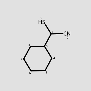 N#CC(S)C1CCCCC1